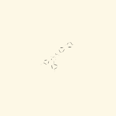 O=C(Nc1ccc(Oc2ccc(Cl)cc2)cc1)N1CC(c2ccc(F)cc2)C(c2ccc(Cl)cc2)=N1